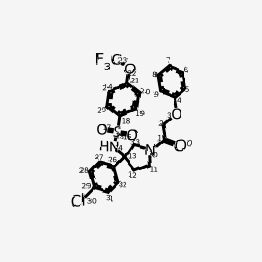 O=C(COc1ccccc1)N1CCC(NS(=O)(=O)c2ccc(OC(F)(F)F)cc2)(c2ccc(Cl)cc2)C1